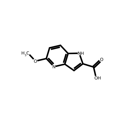 COc1ccc2[nH]c(C(=O)O)cc2n1